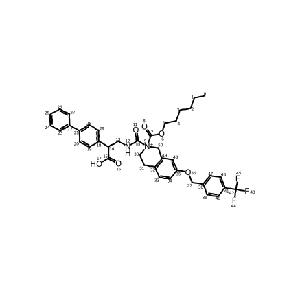 CCCCCCOC(=O)[N+]1(C(=O)NCC(C(=O)O)c2ccc(-c3ccccc3)cc2)CCc2ccc(OCc3ccc(C(F)(F)F)cc3)cc2C1